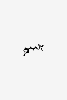 Cn1cc(CCCOS(C)(=O)=O)cn1